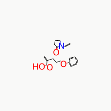 C=C(CCCOc1ccccc1)C(=O)O.C=CN1CCCC1=O